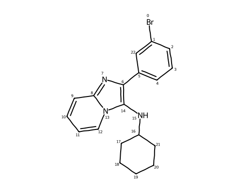 Brc1cccc(-c2nc3ccccn3c2NC2CCCCC2)c1